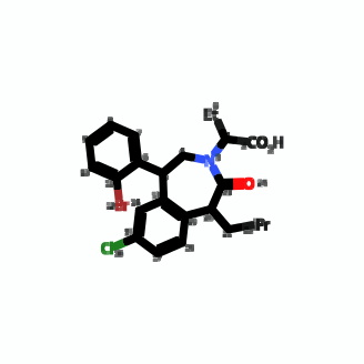 CCC(C(=O)O)N1CC(c2ccccc2Br)c2cc(Cl)ccc2C(CC(C)C)C1=O